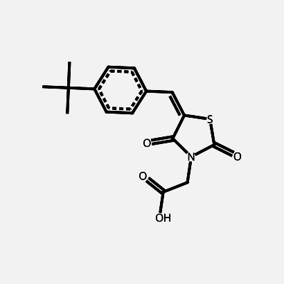 CC(C)(C)c1ccc(C=C2SC(=O)N(CC(=O)O)C2=O)cc1